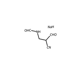 N#CC(C=O)CNC=O.[NaH]